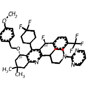 COc1ccc(CO[C@H]2CC(C)(C)Cc3nc(C4CCN(c5ncccn5)CC4)c([C@@H](F)c4ccc(C(F)(F)F)cc4)c(C4CCC(F)(F)CC4)c32)cc1